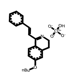 CCCCOc1ccc2c(c1)CCN=C2C=Cc1ccccc1.[O-][Cl+3]([O-])([O-])O